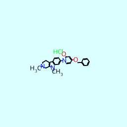 CN1CCc2c(n(C)c3cc(-n4ccc(OCc5ccccc5)cc4=O)ccc23)C1.Cl